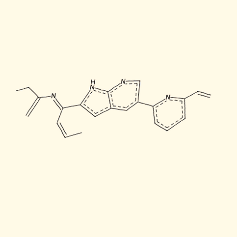 C=Cc1cccc(-c2cnc3[nH]c(C(/C=C\C)=N/C(=C)CC)cc3c2)n1